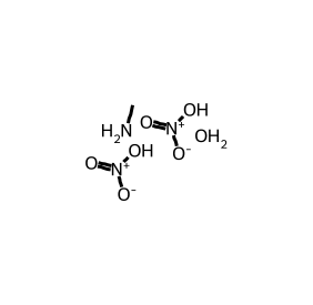 CN.O.O=[N+]([O-])O.O=[N+]([O-])O